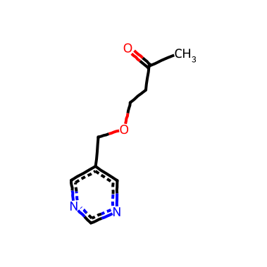 CC(=O)CCOCc1cncnc1